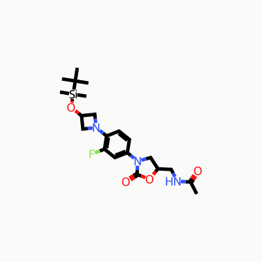 CC(=O)NCC1CN(c2ccc(N3CC(O[Si](C)(C)C(C)(C)C)C3)c(F)c2)C(=O)O1